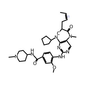 C/C=C\CC1CN(C2CCCC2)c2nc(Nc3ccc(C(=O)NC4CCN(C)CC4)cc3OC)ncc2N(C)C1=O